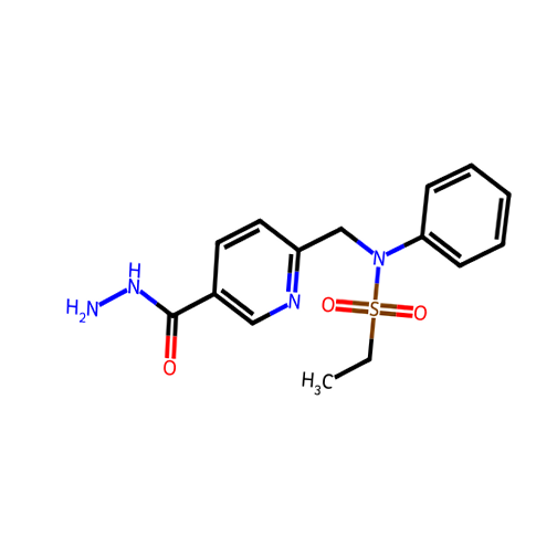 CCS(=O)(=O)N(Cc1ccc(C(=O)NN)cn1)c1ccccc1